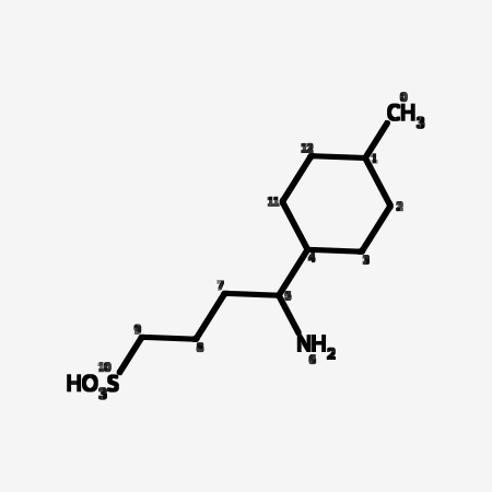 CC1CCC(C(N)CCCS(=O)(=O)O)CC1